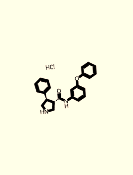 Cl.O=C(Nc1cccc(Oc2ccccc2)c1)[C@@H]1CNC[C@H]1c1ccccc1